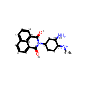 CCCCNC1CCC(N2C(=O)c3cccc4cccc(c34)C2=O)CC1N